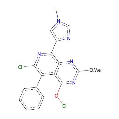 COc1nc(OCl)c2c(-c3ccccc3)c(Cl)nc(-c3cn(C)cn3)c2n1